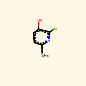 CSc1ccc(O)c(Br)n1